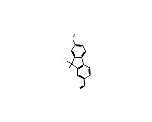 COc1ccc2c(c1)C(C)(C)c1cc(C=O)ccc1-2